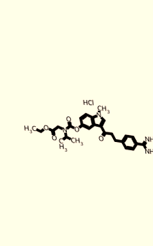 CCOC(=O)CN(C(=O)Oc1ccc2c(c1)c(C(=O)CCc1ccc(C(=N)N)cc1)cn2C)C(C)C.Cl